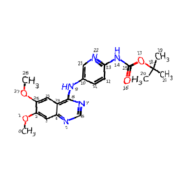 COc1cc2ncnc(Nc3ccc(NC(=O)OC(C)(C)C)nc3)c2cc1OC